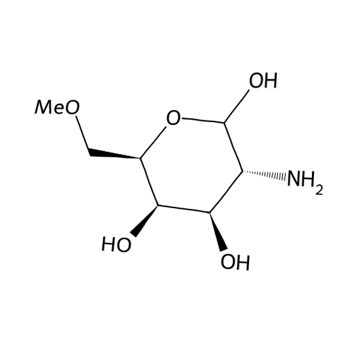 COC[C@H]1OC(O)[C@H](N)[C@@H](O)[C@H]1O